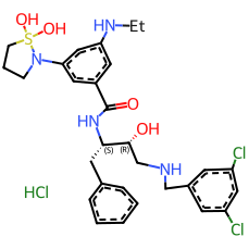 CCNc1cc(C(=O)N[C@@H](Cc2ccccc2)[C@H](O)CNCc2cc(Cl)cc(Cl)c2)cc(N2CCCS2(O)O)c1.Cl